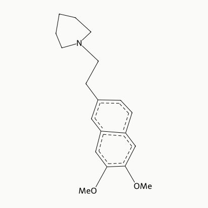 COc1cc2ccc(CCN3CCCCC3)cc2cc1OC